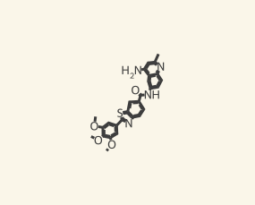 COc1cc(-c2nc3ccc(C(=O)Nc4ccc5nc(C)cc(N)c5c4)cc3s2)cc(OC)c1OC